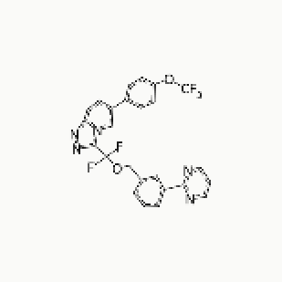 FC(F)(F)Oc1ccc(-c2ccc3nnc(C(F)(F)OCc4cccc(-c5ncccn5)c4)n3c2)cc1